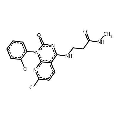 CNC(=O)CCNc1nc(=O)n(-c2ccccc2Cl)c2nc(Cl)ccc12